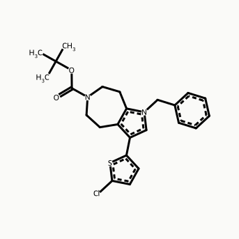 CC(C)(C)OC(=O)N1CCc2c(-c3ccc(Cl)s3)cn(Cc3ccccc3)c2CC1